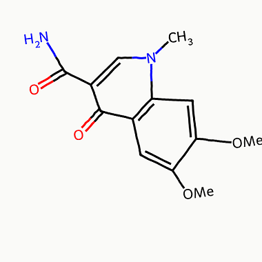 COc1cc2c(=O)c(C(N)=O)cn(C)c2cc1OC